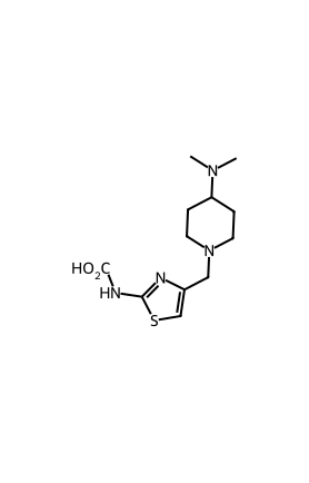 CN(C)C1CCN(Cc2csc(NC(=O)O)n2)CC1